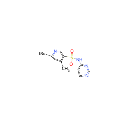 Cc1cc(C(C)(C)C)ncc1S(=O)(=O)Nc1ccncn1